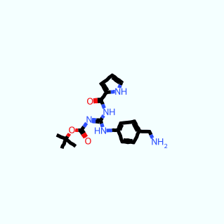 CC(C)(C)OC(=O)/N=C(/NC(=O)c1ccc[nH]1)Nc1ccc(CN)cc1